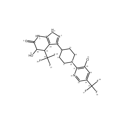 O=C1Nc2[nH]nc(C3CCN(c4ncc(C(F)(F)F)cc4Cl)CC3)c2C(C(F)(F)F)C1O